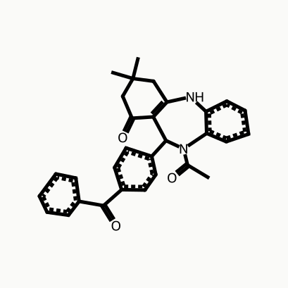 CC(=O)N1c2ccccc2NC2=C(C(=O)CC(C)(C)C2)C1c1ccc(C(=O)c2ccccc2)cc1